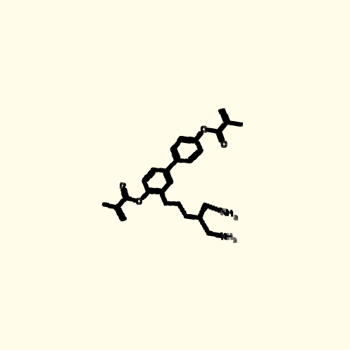 C=C(C)C(=O)Oc1ccc(-c2ccc(OC(=O)C(=C)C)c(CCCC(CN)CN)c2)cc1